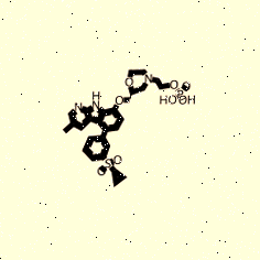 Cc1cnc2[nH]c3c(OC[C@H]4CN(CCOP(=O)(O)O)CCO4)ccc(-c4cccc(S(=O)(=O)C5CC5)c4)c3c2c1